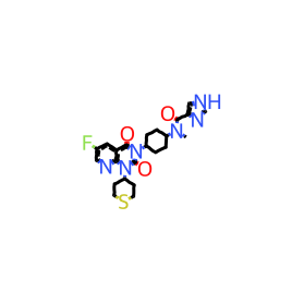 CN(C(=O)c1c[nH]cn1)C1CCC(n2c(=O)c3cc(F)cnc3n(C3CCSCC3)c2=O)CC1